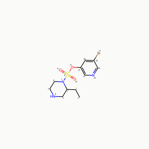 CCC1CNCCN1S(=O)(=O)Oc1cncc(Br)c1